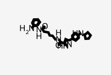 Nc1ccccc1NC(=O)CCCCCNC(=O)c1cc(-c2ccc(NC3CCCC3)cc2)n[nH]1